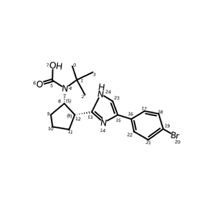 CC(C)(C)N(C(=O)O)[C@H]1CCC[C@H]1c1nc(-c2ccc(Br)cc2)c[nH]1